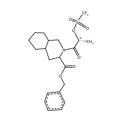 C[C@@H](OS(=O)(=O)C(F)(F)F)C(=O)N1CC2CCCCC2CC1C(=O)OCc1ccccc1